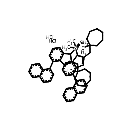 CC1(CC2=Cc3c(-c4cccc5ccccc45)cccc3[CH]2[Zr]([CH3])([CH3])(=[SiH2])[CH]2C(CC3(C)CCCCCC3)=Cc3c(-c4cccc5ccccc45)cccc32)CCCCCC1.Cl.Cl